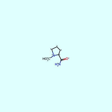 NC(=O)C1CCCN1C(=O)O